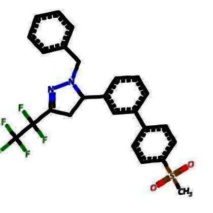 CS(=O)(=O)c1ccc(-c2cccc(C3CC(C(F)(F)C(F)(F)F)=NN3Cc3ccccc3)c2)cc1